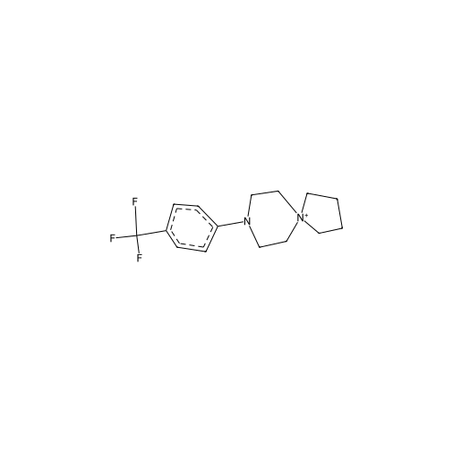 FC(F)(F)c1ccc(N2CC[N+]3(CCCC3)CC2)cc1